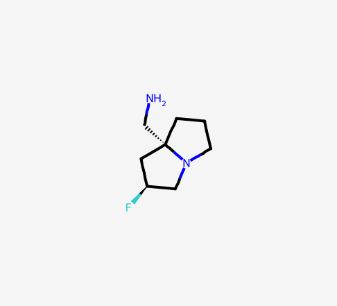 NC[C@]12CCCN1C[C@@H](F)C2